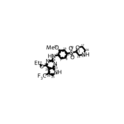 CCOc1nc(Nc2ccc(S(=O)(=O)C3CNCCO3)cc2OC)nc2[nH]cc(C(F)(F)F)c12